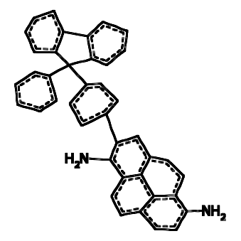 Nc1ccc2ccc3c(N)c(-c4ccc(C5(c6ccccc6)c6ccccc6-c6ccccc65)cc4)cc4ccc1c2c43